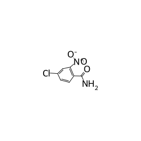 NC(=O)c1ccc(Cl)cc1[N+](=O)[O-]